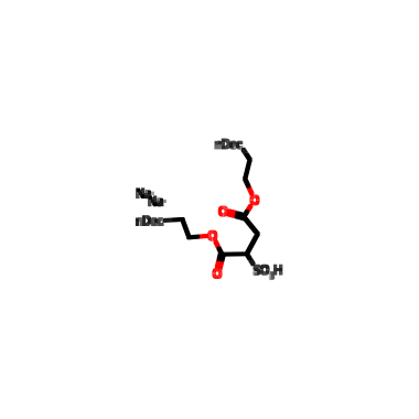 CCCCCCCCCCCCOC(=O)CC(C(=O)OCCCCCCCCCCCC)S(=O)(=O)O.[Na].[Na]